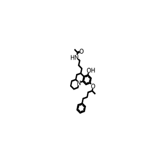 CC(=O)NCCCC1CC2CCCCN2c2cc(OC(C)CCCc3ccccc3)cc(O)c21